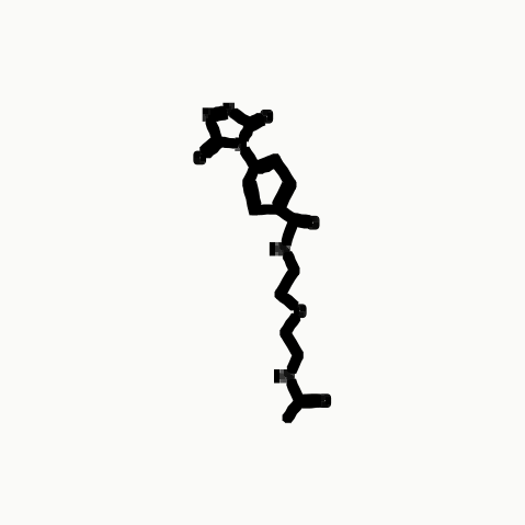 CC(=O)NCCOCCNC(=O)c1ccc(N2C(=O)N=NC2=O)cc1